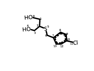 OCC(CO)SCc1ccc(Cl)cc1